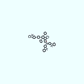 CC1(C)C2=C(CCC=C2)c2ccc(-c3ccc(-c4cc(-c5ccccc5)c5c6c(c7cc(N(c8ccc9c(c8)C(C)(C)c8ccccc8-9)c8ccc9c(c8)C(C)(C)c8ccccc8-9)ccc7c5c4-c4ccccc4)CCC=C6)cc3)cc21